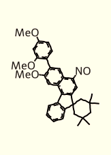 COc1ccc(-c2cc3c(N=O)cc4c(c3cc2OC)-c2ccccc2C42CC(C)(C)CC(C)(C)C2)c(OC)c1